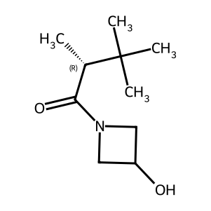 C[C@@H](C(=O)N1CC(O)C1)C(C)(C)C